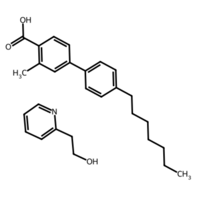 CCCCCCCc1ccc(-c2ccc(C(=O)O)c(C)c2)cc1.OCCc1ccccn1